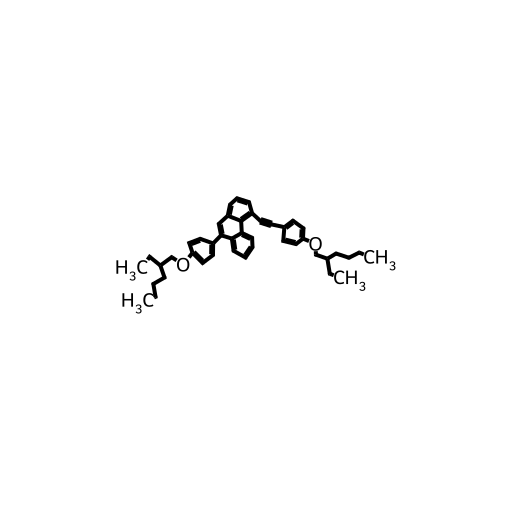 CCCCC(CC)COc1ccc(C#Cc2cccc3cc(-c4ccc(OCC(CC)CCCC)cc4)c4ccccc4c23)cc1